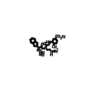 CCOC(=O)c1ccc(C)c(NCC(=O)N(CCNC(C)C)CC(=O)N(C)N2Cc3ccccc3C2)c1.Cl.Cl